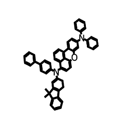 CC1(C)C2=C(CCC(N(c3ccc(-c4ccccc4)cc3)c3ccc4c5c(cccc35)-c3ccc(N(c5ccccc5)c5ccccc5)cc3O4)=C2)c2ccccc21